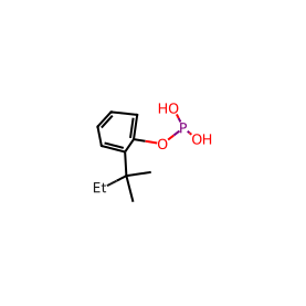 CCC(C)(C)c1ccccc1OP(O)O